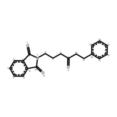 O=C(CCCN1C(=O)c2ccccc2C1=O)CCc1ccccc1